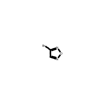 Brc1[c]non1